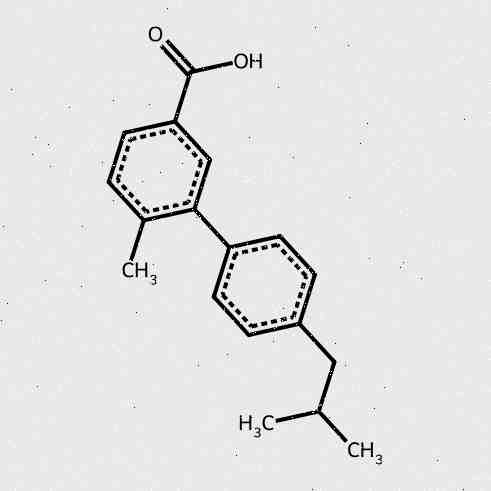 Cc1ccc(C(=O)O)cc1-c1ccc(CC(C)C)cc1